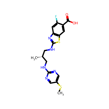 CSc1cnc(NC[C@H](C)CNc2nc3cc(F)c(C(=O)O)cc3s2)nc1